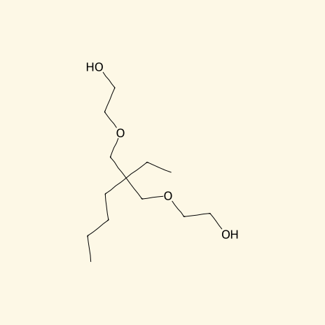 CCCCC(CC)(COCCO)COCCO